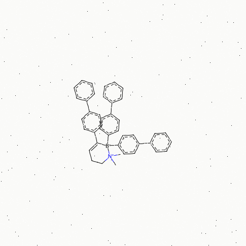 C[N+]1(C)CCC=C(c2ccc(-c3ccccc3)cc2)[B-]1(c1ccc(-c2ccccc2)cc1)c1ccc(-c2ccccc2)cc1